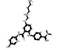 CN(C)C(=N)c1ccc(Nc2ccc(OCNCCCN)cc2C(=O)Nc2ccc(Cl)cn2)cc1